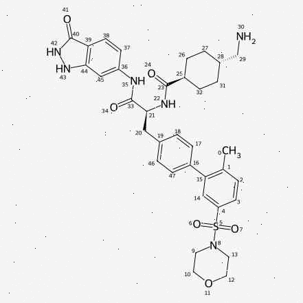 Cc1ccc(S(=O)(=O)N2CCOCC2)cc1-c1ccc(C[C@H](NC(=O)[C@H]2CC[C@H](CN)CC2)C(=O)Nc2ccc3c(=O)[nH][nH]c3c2)cc1